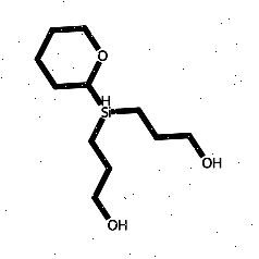 OCCC[SiH](CCCO)C1CCCCO1